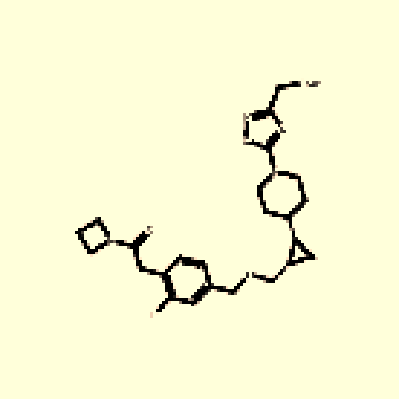 COCc1noc(N2CCC([C@H]3C[C@H]3COCc3ccc(CC(=O)N4CCC4)c(F)c3)CC2)n1